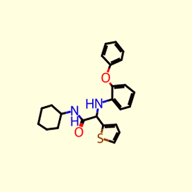 O=C(NC1CCCCC1)C(Nc1ccccc1Oc1ccccc1)c1cccs1